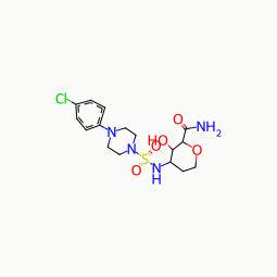 NC(=O)C1OCCC(NS(=O)(=O)N2CCN(c3ccc(Cl)cc3)CC2)C1O